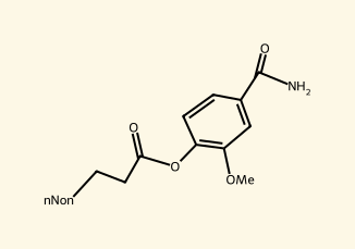 CCCCCCCCCCCC(=O)Oc1ccc(C(N)=O)cc1OC